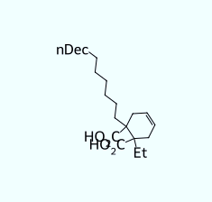 CCCCCCCCCCCCCCCCC1(C(=O)O)CC=CCC1(CC)C(=O)O